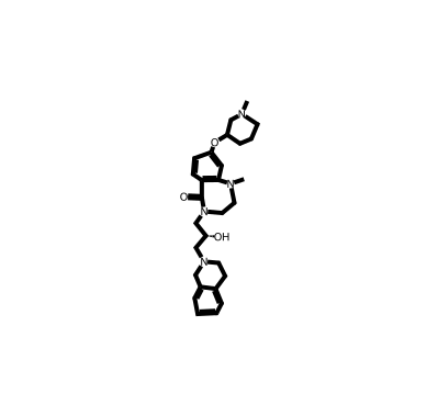 CN1CCCC(Oc2ccc3c(c2)N(C)CCN(C[C@H](O)CN2CCc4ccccc4C2)C3=O)C1